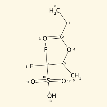 CCC(=O)OC(C)C(F)(F)S(=O)(=O)O